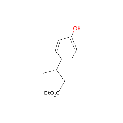 CCOC(=O)CC(C)c1ccc(O)cc1